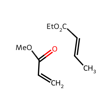 C/C=C/C(=O)OCC.C=CC(=O)OC